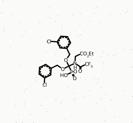 CCOC(=O)CN(C(=O)C(F)(F)F)C(OCc1cccc(Cl)c1)(OCc1cccc(Cl)c1)P(=O)(O)O